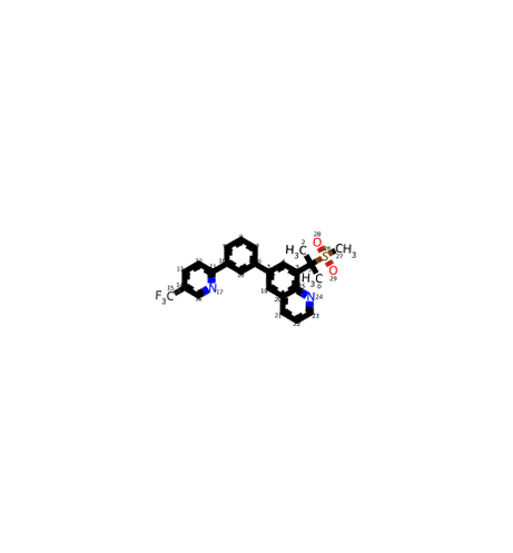 CC(C)(c1cc(-c2cccc(-c3ccc(C(F)(F)F)cn3)c2)cc2cccnc12)S(C)(=O)=O